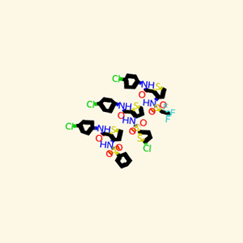 O=C(Nc1ccc(Cl)cc1)c1sccc1NS(=O)(=O)CC(F)(F)F.O=C(Nc1ccc(Cl)cc1)c1sccc1NS(=O)(=O)c1ccc(Cl)s1.O=C(Nc1ccc(Cl)cc1)c1sccc1NS(=O)(=O)c1ccccc1